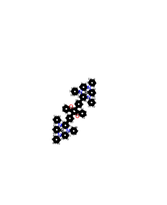 c1ccc(N2c3cccc4c3B3c5c2cccc5N(c2ccccc2)c2cc(-c5ccc(-c6c7oc8ccccc8c7c(-c7ccc(-c8cc9c%10c(c8)N(c8ccccc8)c8cccc%11c8B%10c8c(cccc8N9c8ccccc8)N%11c8ccccc8)cc7)c7oc8ccccc8c67)cc5)cc(c23)N4c2ccccc2)cc1